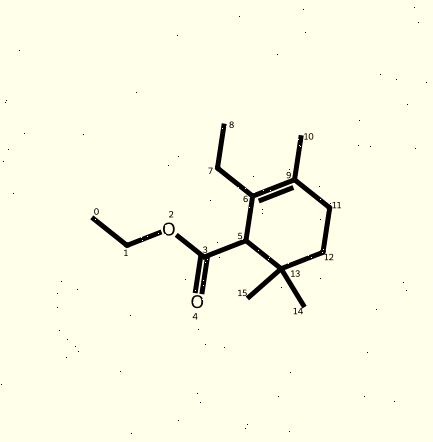 CCOC(=O)C1C(CC)=C(C)CCC1(C)C